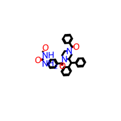 NC(=O)NC=O.O=C(c1ccccc1)N1CCN(C(=O)c2ccccc2)C(C(c2ccccc2)c2ccccc2)C1